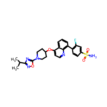 CC(C)c1noc(N2CCC(Oc3ccnc4c(-c5ccc(S(N)(=O)=O)cc5F)cccc34)CC2)n1